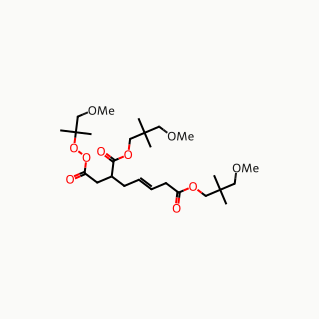 COCC(C)(C)COC(=O)CC=CCC(CC(=O)OOC(C)(C)COC)C(=O)OCC(C)(C)COC